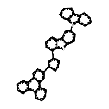 c1cc(-c2ccc3c4ccccc4c4ccccc4c3c2)cc(-c2cccc3c2oc2ccc(-n4c5ccccc5c5ccccc54)cc23)c1